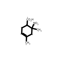 CC1=C[CH]C(C(=O)O)C(C)([N+](=O)[O-])C1